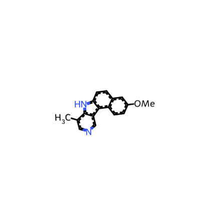 COc1ccc2c(ccc3[nH]c4c(C)cncc4c32)c1